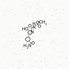 COC(=O)CNC(=O)c1ncc(-c2cccc(C(N)=O)c2)cc1O